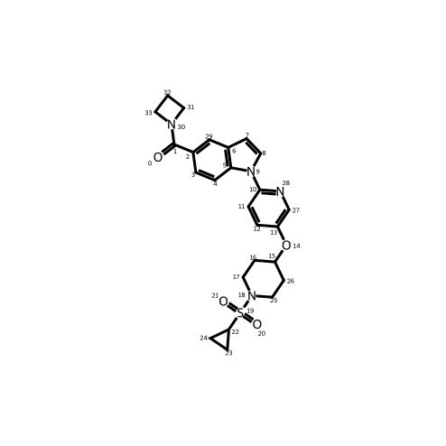 O=C(c1ccc2c(ccn2-c2ccc(OC3CCN(S(=O)(=O)C4CC4)CC3)cn2)c1)N1CCC1